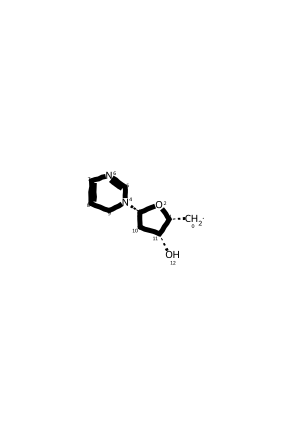 [CH2][C@H]1O[C@@H](N2C=NC=CC2)C[C@H]1O